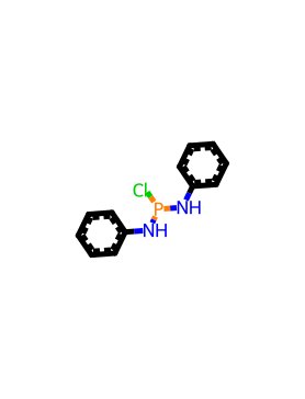 ClP(Nc1ccccc1)Nc1ccccc1